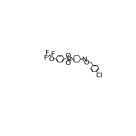 O=S(=O)(c1ccc(OC(F)(F)F)cc1)N1CCC(=NOCc2ccc(Cl)cc2)CC1